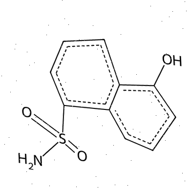 NS(=O)(=O)c1cccc2c(O)cccc12